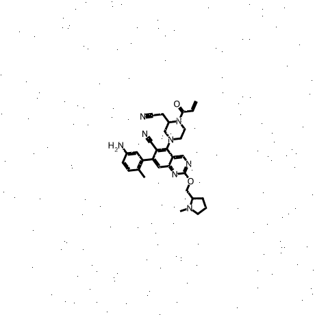 C=CC(=O)N1CCN(c2c(C#N)c(-c3cc(N)ccc3C)cc3nc(OCC4CCCN4C)ncc23)CC1CC#N